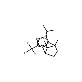 CC(C)n1nc(C(F)(F)F)c2c1C1(C)CCC2C1(C)C